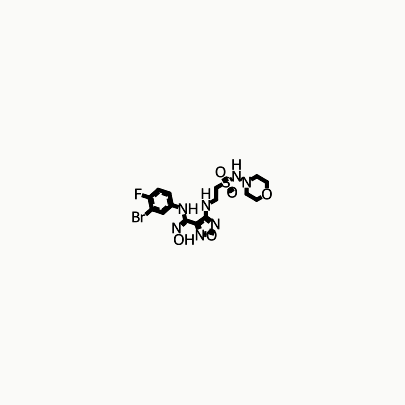 O=S(=O)(CCNc1nonc1C(=NO)Nc1ccc(F)c(Br)c1)NN1CCOCC1